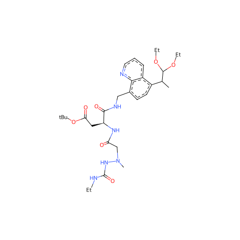 CCNC(=O)NN(C)CC(=O)N[C@@H](CC(=O)OC(C)(C)C)C(=O)NCc1ccc(C(C)C(OCC)OCC)c2cccnc12